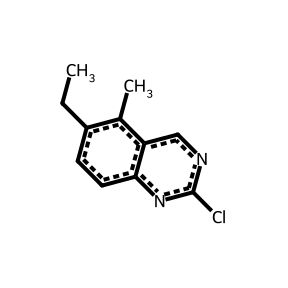 CCc1ccc2nc(Cl)ncc2c1C